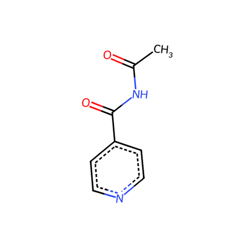 CC(=O)NC(=O)c1ccncc1